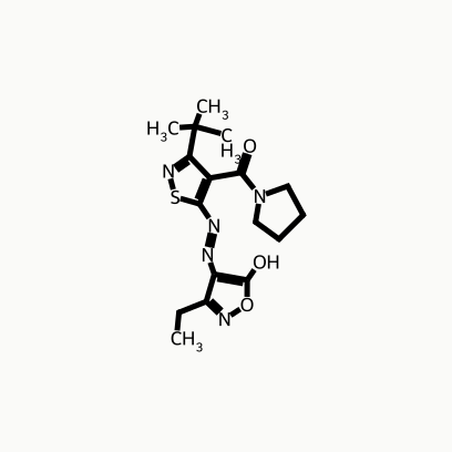 CCc1noc(O)c1N=Nc1snc(C(C)(C)C)c1C(=O)N1CCCC1